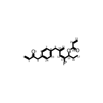 C=CC(=O)Cc1ccc(CC(=C)/C=C(/F)C(CC)OC(=O)C=C)cc1